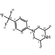 CC1CN(c2ccc(C(F)(F)F)cc2)CC(C)N1